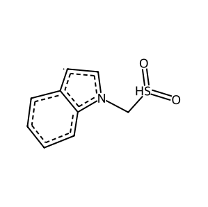 O=[SH](=O)Cn1c[c]c2ccccc21